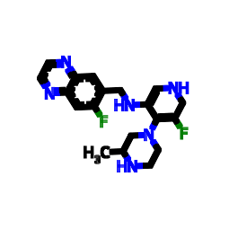 CC1CN(C2=C(F)CNC=C2NCc2cc3nccnc3cc2F)CCN1